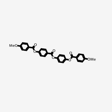 COc1ccc(C(=O)Oc2ccc(OC(=O)c3ccc(OC(=O)c4ccc(OC)cc4)cc3)cc2)cc1